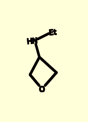 CCNC1COC1